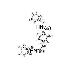 O=C(NCc1ccccc1)c1ccc([C@@H]2C[C@H]2NCc2ccccc2)cc1